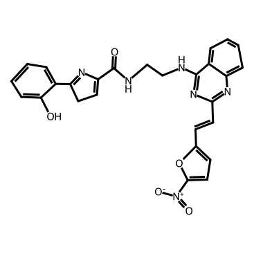 O=C(NCCNc1nc(/C=C/c2ccc([N+](=O)[O-])o2)nc2ccccc12)C1=CCC(c2ccccc2O)=N1